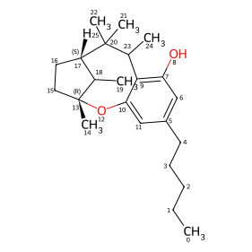 CCCCCc1cc(O)c2c(c1)O[C@]1(C)CC[C@@H](C1C)C(C)(C)C2C